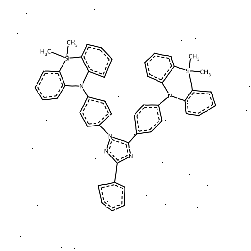 C[Si]1(C)c2ccccc2N(c2ccc(-c3nc(-c4ccccc4)nn3-c3ccc(N4c5ccccc5[Si](C)(C)c5ccccc54)cc3)cc2)c2ccccc21